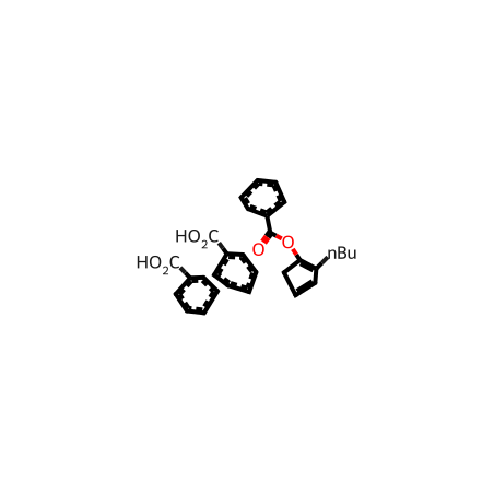 CCCCC1=C(OC(=O)c2ccccc2)CC=C1.O=C(O)c1ccccc1.O=C(O)c1ccccc1